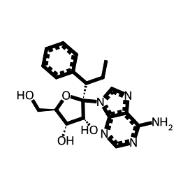 CCC(c1ccccc1)[C@@]1(n2cnc3c(N)ncnc32)O[C@H](CO)[C@@H](O)[C@H]1O